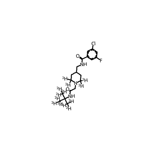 [2H]C1([2H])CC(CNC(=O)c2cc(F)cc(Cl)c2)CC([2H])([2H])N1CC(=O)NC(C([2H])([2H])[2H])(C([2H])([2H])[2H])C([2H])([2H])[2H]